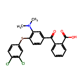 CN(C)c1cc(C(=O)c2ccccc2C(=O)O)ccc1Sc1ccc(Cl)c(Cl)c1